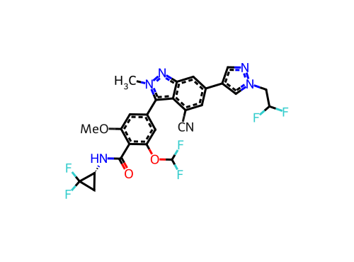 COc1cc(-c2c3c(C#N)cc(-c4cnn(CC(F)F)c4)cc3nn2C)cc(OC(F)F)c1C(=O)N[C@@H]1CC1(F)F